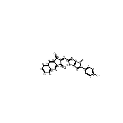 Cn1c(-c2ccc(F)cc2)cc2sc(C=C3C(=O)c4cc5ccccc5cc4C3=O)nc21